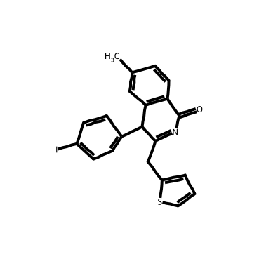 Cc1ccc2c(c1)C(c1ccc(I)cc1)C(Cc1cccs1)=NC2=O